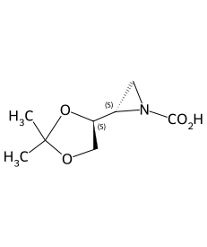 CC1(C)OC[C@H]([C@@H]2CN2C(=O)O)O1